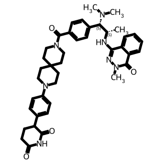 C[C@H](Nc1nn(C)c(=O)c2ccccc12)[C@H](c1ccc(C(=O)N2CCC3(CC2)CCN(c2ccc(C4CCC(=O)NC4=O)cc2)CC3)cc1)N(C)C